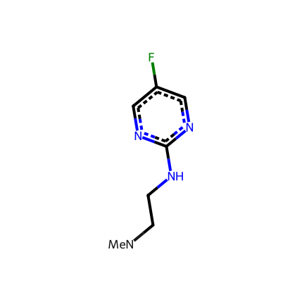 CNCCNc1ncc(F)cn1